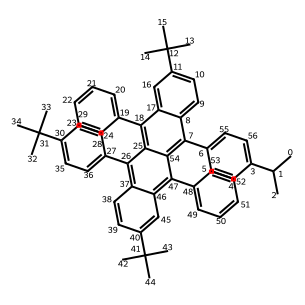 CC(C)c1ccc(-c2c3ccc(C(C)(C)C)cc3c(-c3ccccc3)c3c(-c4ccc(C(C)(C)C)cc4)c4ccc(C(C)(C)C)cc4c(-c4ccccc4)c23)cc1